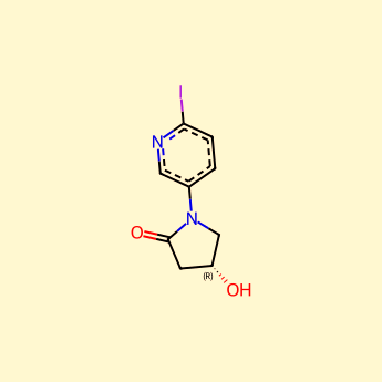 O=C1C[C@@H](O)CN1c1ccc(I)nc1